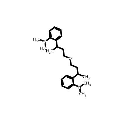 CC(CCOCCC(C)c1ccccc1N(C)C)c1ccccc1N(C)C